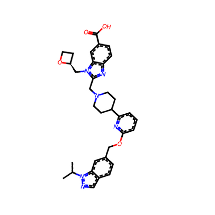 CC(C)n1ncc2ccc(COc3cccc(C4CCN(Cc5nc6ccc(C(=O)O)cc6n5C[C@@H]5CCO5)CC4)n3)cc21